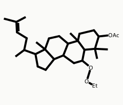 CCOOC1CC2C3CCC(C(C)CC=C(C)C)C3(C)CCC2C2(C)CCC(OC(C)=O)C(C)(C)C12